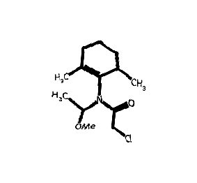 COC(C)N(C(=O)CCl)C1=C(C)CCCC1C